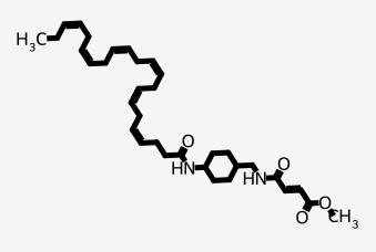 CC/C=C\C/C=C\C/C=C\C/C=C\C/C=C\C/C=C\CCC(=O)NC1CCC(CNC(=O)C=CC(=O)OC)CC1